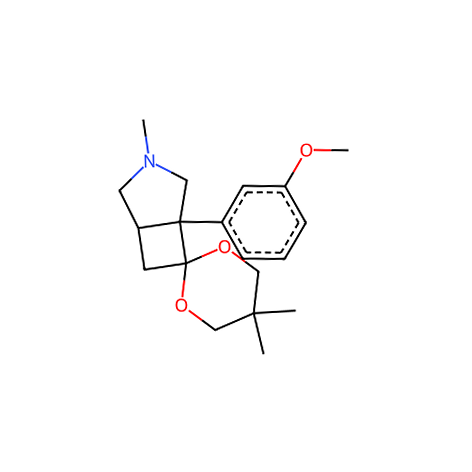 COc1cccc(C23CN(C)CC2CC32OCC(C)(C)CO2)c1